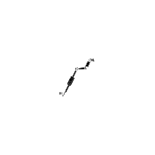 C=NOC#CC